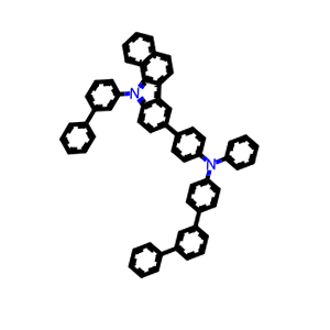 c1ccc(-c2cccc(-c3ccc(N(c4ccccc4)c4ccc(-c5ccc6c(c5)c5ccc7ccccc7c5n6-c5cccc(-c6ccccc6)c5)cc4)cc3)c2)cc1